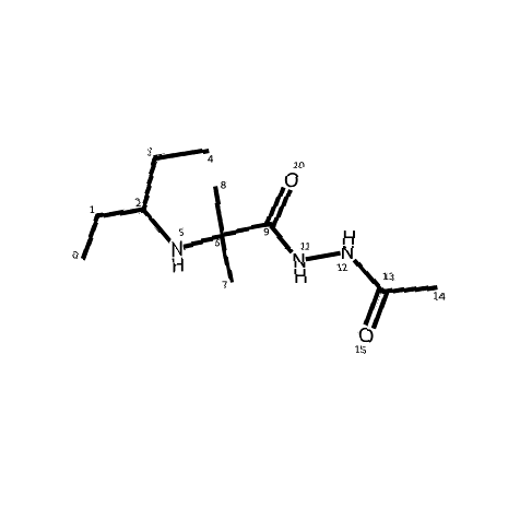 CCC(CC)NC(C)(C)C(=O)NNC(C)=O